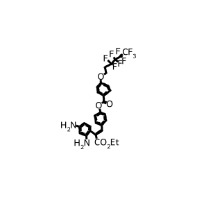 CCOC(=O)C(=Cc1ccc(OC(=O)c2ccc(OCCC(F)(F)C(F)(F)C(F)(F)C(F)(F)F)cc2)cc1)c1ccc(N)cc1N